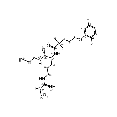 Cc1ccc(C)c(OCCCC(C)(C)C(=O)N[C@@H](CCCNC(=N)N[N+](=O)[O-])C(=O)N[CH]CC(C)C)c1